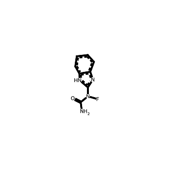 NC(=O)N(F)c1nc2ccccc2[nH]1